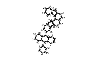 c1ccc(-c2c3ccccc3c(-c3ccc4oc5c(ccc6ccc7sc8ccccc8c7c65)c4c3)c3ccccc23)cc1